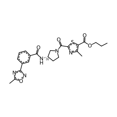 CCCOC(=O)c1sc(C(=O)N2CC[C@H](NC(=O)c3cccc(-c4noc(C)n4)c3)C2)nc1C